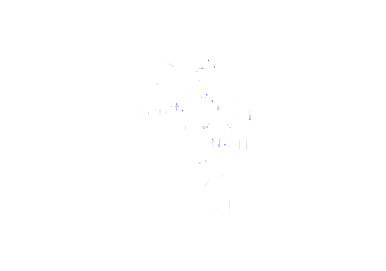 Cc1cccc(N(C)C(=O)[C@H]2N(c3nc(C)cc(C(F)(F)F)c3C#N)CCC2(F)F)c1